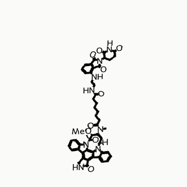 CO[C@@H]1[C@H](N(C)C(=O)CCCCCCC(=O)NCCNc2cccc3c2C(=O)N(C2CCC(=O)NC2=O)C3=O)C[C@H]2O[C@]1(C)n1c3ccccc3c3c4c(c5c6ccccc6n2c5c31)C(=O)NC4